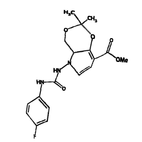 COC(=O)C1=C2OC(C)(C)OCC2N(NC(=O)Nc2ccc(F)cc2)C=C1